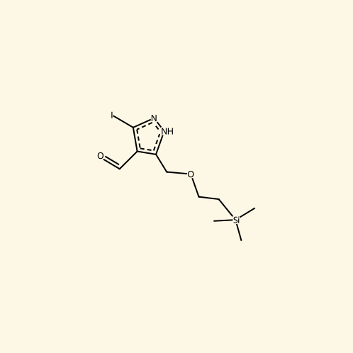 C[Si](C)(C)CCOCc1[nH]nc(I)c1C=O